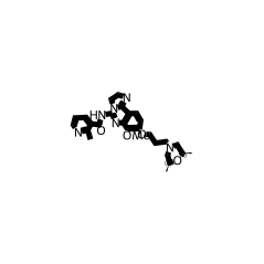 COc1c(OCCCN2C[C@@H](C)O[C@@H](C)C2)ccc2c1N=C(NC(=O)c1cccnc1C)N1CCN=C21